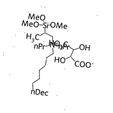 CCCCCCCCCCCCCCCC[N+](CCC)(CCC)CC(C)[Si](OC)(OC)OC.O=C([O-])C(O)C(O)C(=O)O